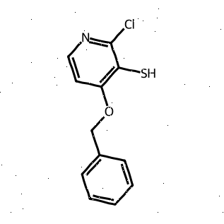 Sc1c(OCc2ccccc2)ccnc1Cl